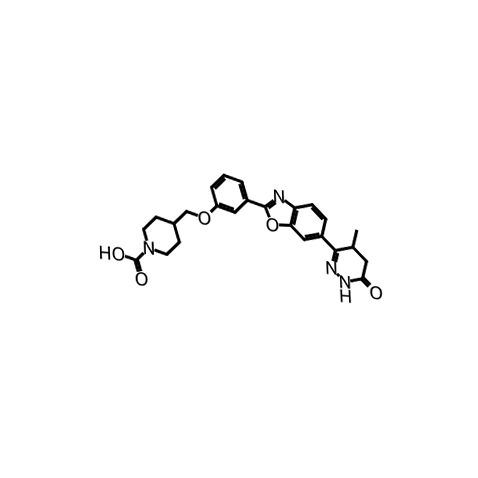 CC1CC(=O)NN=C1c1ccc2nc(-c3cccc(OCC4CCN(C(=O)O)CC4)c3)oc2c1